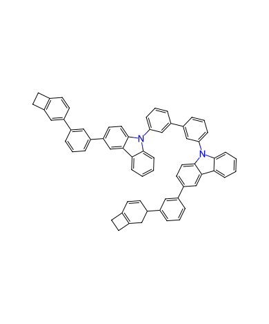 C1=CC(c2cccc(-c3ccc4c(c3)c3ccccc3n4-c3cccc(-c4cccc(-n5c6ccccc6c6cc(-c7cccc(-c8ccc9c(c8)CC9)c7)ccc65)c4)c3)c2)CC2=C1CC2